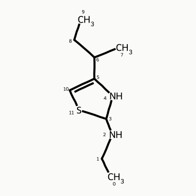 CCNC1NC(C(C)CC)=CS1